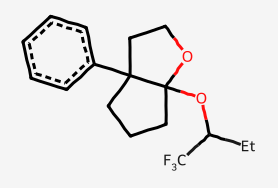 CCC(OC12CCCC1(c1ccccc1)CCO2)C(F)(F)F